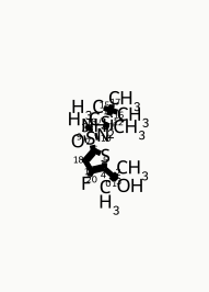 CC(C)(O)c1sc(S(N)(=O)=N[Si](C)(C)C(C)(C)C)cc1F